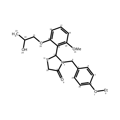 CCOc1ccc(CN2C(=O)CSC2c2c(OC)cccc2OCC(C)O)cc1